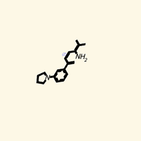 C=C(/C=C\C(N)=C(C)C)c1cccc(N2CCCC2)c1